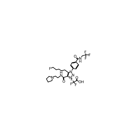 O=C(NCC(F)(F)F)c1ccc(-n2nnc(C(=O)NCCN3CCCC3)c2CCCCCF)cc1.O=C(O)C(F)(F)F